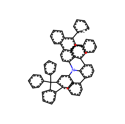 c1ccc(-c2cccc(-c3ccccc3)c2N(c2ccc3c(c2)C(c2ccccc2)(c2ccccc2)c2ccccc2-3)c2ccc3c(c2)c(-c2ccccc2)c(-c2ccccc2)c2ccccc23)cc1